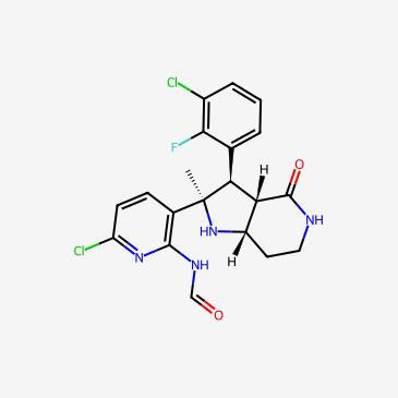 C[C@@]1(c2ccc(Cl)nc2NC=O)N[C@H]2CCNC(=O)[C@H]2[C@@H]1c1cccc(Cl)c1F